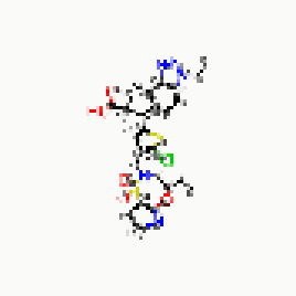 CC[C@@H]1CN(Cc2cc(C(c3ccc4c(nnn4CC)c3C)C(C)(C)C(=O)O)sc2Cl)S(=O)(=O)c2cccnc2O1